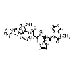 CC(Sc1nnn[nH]1)C1=C(C(=O)O)N2C(=O)C(NC(=O)C(NC(=O)n3c(=O)n(C)c4ccccc43)c3cccs3)[C@@H]2SC1